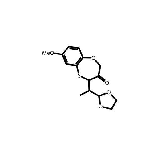 COc1ccc2c(c1)SC(C(C)C1OCCO1)C(=O)CO2